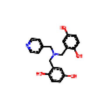 Oc1ccc(O)c(CN(Cc2ccncc2)Cc2cc(O)ccc2O)c1